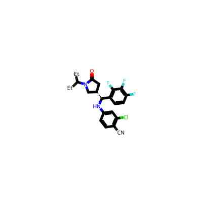 CCC(CC)N1C[C@@H](C(Nc2ccc(C#N)c(Cl)c2)c2ccc(F)c(F)c2F)CC1=O